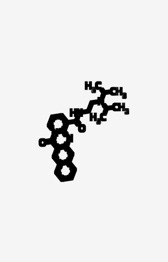 CC(C)N(CCNC(=O)c1cccn2c(=O)c3cc4ccccc4cc3nc12)C(C)C